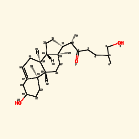 CC(CO)CCC(=O)[C@@H](C)[C@H]1CC[C@H]2[C@@H]3CC=C4CC(O)CC[C@]4(C)[C@H]3CC[C@]12C